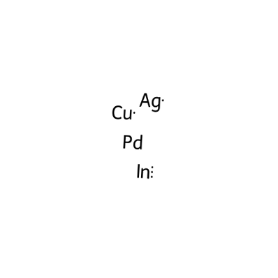 [Ag].[Cu].[In].[Pd]